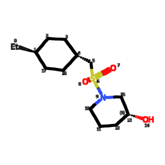 CC[C@H]1CC[C@H](CS(=O)(=O)N2CCC[C@@H](O)C2)CC1